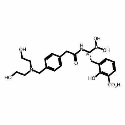 O=C(Cc1ccc(CN(CCO)CCO)cc1)N[C@@H](Cc1cccc(C(=O)O)c1O)B(O)O